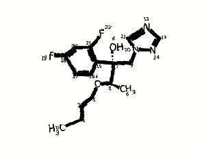 CCCCO[C@H](C)[C@](O)(Cn1cncn1)c1ccc(F)cc1F